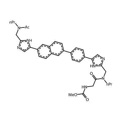 CCCN(Cc1ncc(-c2ccc3cc(-c4ccc(-c5cnc(CN(CCC)C(=O)CNC(=O)OC)[nH]5)cc4)ccc3c2)[nH]1)C(C)=O